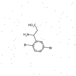 NC(CC(=O)O)c1cc(Br)ccc1Br